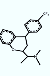 CC(C1CC(c2ccc(C(F)(F)F)cc2)c2ccccc2O1)N(C)C